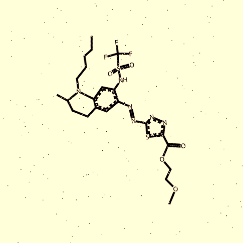 CCCCCN1c2cc(NS(=O)(=O)C(F)(F)F)c(N=Nc3nnc(C(=O)OCCOC)s3)cc2CCC1C